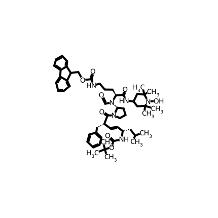 CC(C)C[C@@H](/C=C/[C@H](Cc1ccccc1)C(=O)N1CCC[C@H]1N(C=O)[C@@H](CCCNC(=O)OCC1c2ccccc2-c2ccccc21)C(=O)NC1CC(C)(C)N(O)C(C)(C)C1)NC(=O)OC(C)(C)C